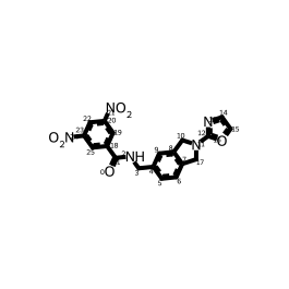 O=C(NCc1ccc2c(c1)CN(c1ncco1)C2)c1cc([N+](=O)[O-])cc([N+](=O)[O-])c1